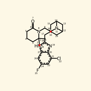 CC1(C)CCCC(=O)N1CCN1C2CC1CN(Cc1nc3c(Cl)cc(F)cc3[nH]1)C2